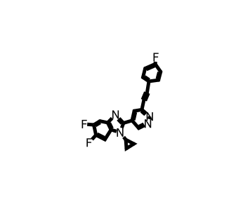 Fc1ccc(C#Cc2cc(-c3nc4cc(F)c(F)cc4n3C3CC3)cnn2)cc1